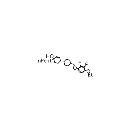 CCCCC[C@@]1(O)C=C[C@H](C2CCC(COc3ccc(OCC)c(F)c3F)CC2)CC1